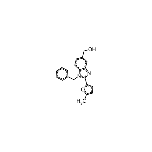 Cc1ccc(-c2nc3cc(CO)ccc3n2Cc2ccccc2)o1